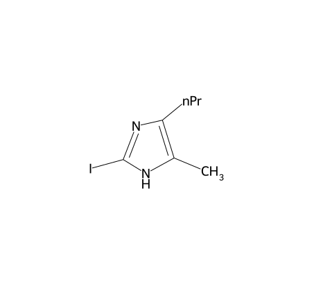 CCCc1nc(I)[nH]c1C